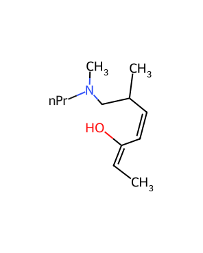 C/C=C(O)\C=C/C(C)CN(C)CCC